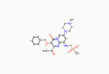 COC(=O)c1nc2c(NCS(C)(=O)=O)cc(N3CCN(C(C)C)CC3)cn2c(=O)c1OCc1ccccc1